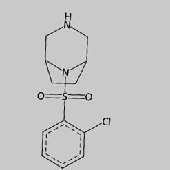 O=S(=O)(c1ccccc1Cl)N1C2CCC1CNC2